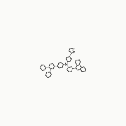 C1=CC(N(c2ccc(-c3ccccc3)cc2)c2ccc(-c3ccc(-c4ccccc4)c(-c4ccccc4)c3)cc2)=CC(c2cc3ccccc3c3ccccc23)C1